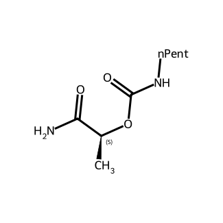 CCCCCNC(=O)O[C@@H](C)C(N)=O